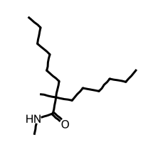 CCCCCCC(C)(CCCCCC)C(=O)NC